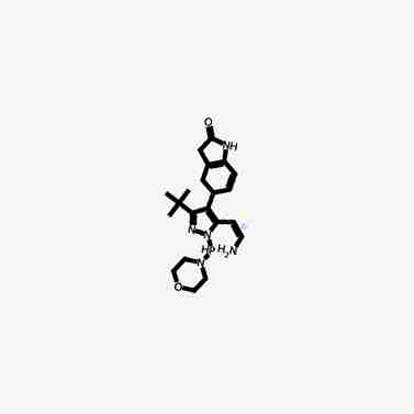 CC(C)(C)c1nn(PN2CCOCC2)c(/C=C\N)c1C1C=CC2=C(CC(=O)N2)C1